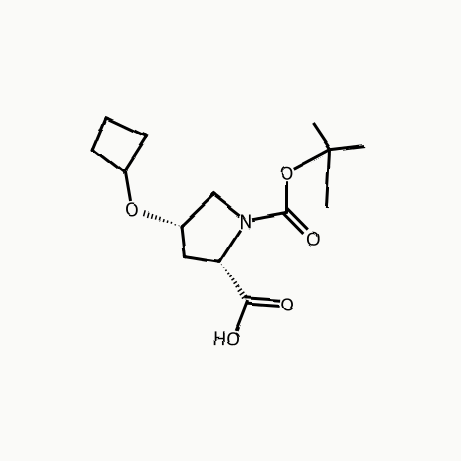 CC(C)(C)OC(=O)N1C[C@@H](OC2CCC2)C[C@H]1C(=O)O